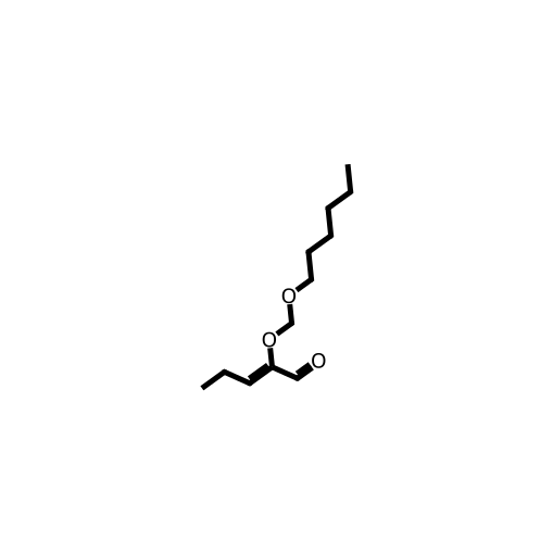 CCC=C(C=O)OCOCCCCCC